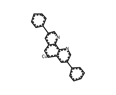 [Cu].c1ccc(-c2cnc3c(ccc4cc(-c5ccccc5)cnc43)c2)cc1